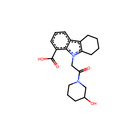 O=C(O)c1cccc2c3c(n(CC(=O)N4CCCC(O)C4)c12)CCCC3